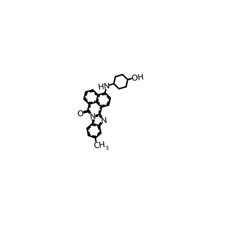 Cc1ccc2c(c1)nc1c3ccc(NC4CCC(O)CC4)c4cccc(c(=O)n21)c43